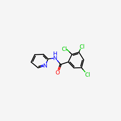 O=C(Nc1ccccn1)c1cc(Cl)cc(Cl)c1Cl